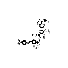 C=C(NCCN(CC)c1ccc(/C=C/c2ccc([N+](=O)[O-])cc2)cc1)[C@H]1O[C@@H](C2C=Nc3c(N)ncnc3C2)[C@H](C)[C@@H]1O